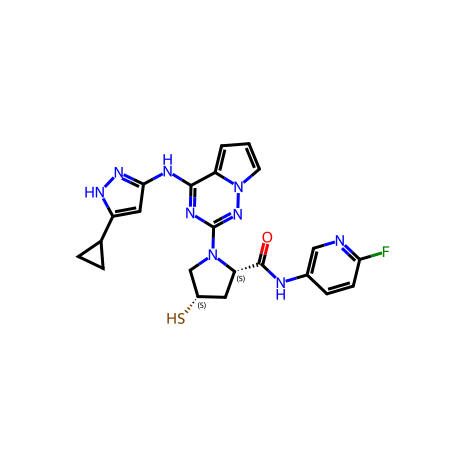 O=C(Nc1ccc(F)nc1)[C@@H]1C[C@H](S)CN1c1nc(Nc2cc(C3CC3)[nH]n2)c2cccn2n1